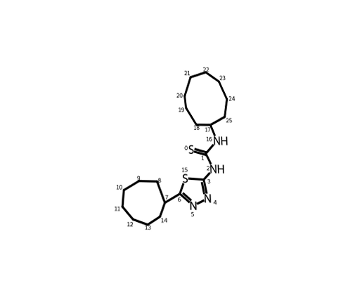 S=C(Nc1nnc(C2CCCCCCC2)s1)NC1CCCCCCCC1